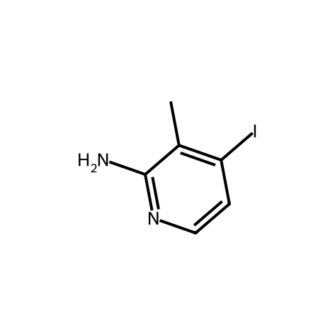 Cc1c(I)ccnc1N